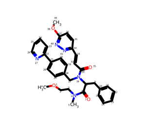 COCCN(C)C(=O)C(Cc1ccccc1)N(Cc1ccc(-c2ccccn2)cc1)C(=O)C=Cc1ccc(OC)nn1